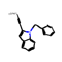 CCCCCCC#Cc1cc2ccccc2n1Cc1ccccc1